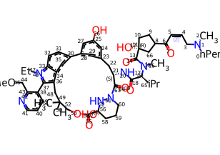 CCCCCN(C)C/C=C\C(=O)C1CC[C@](O)(C(=O)N(C)[C@H](C(=O)N[C@H]2Cc3cc(O)cc(c3)-c3ccc4c(c3)c(c(-c3cccnc3COC)n4CC)CC(C)(C)COC(=O)[C@@]3(O)CCCN(N3)C2=O)C(C)C)C1